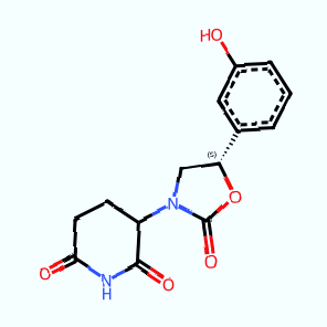 O=C1CCC(N2C[C@H](c3cccc(O)c3)OC2=O)C(=O)N1